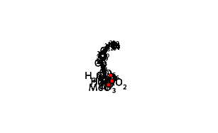 COC(=O)C1=C(C)NC(C)=C(C(=O)OCCOC(=O)c2ccc(OCCn3ccnc3)cc2)C1c1ccccc1[N+](=O)[O-]